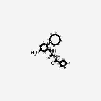 Cc1ccc(N2CCCCCCC2)c(NC(=S)NC(=O)c2ccsc2)c1